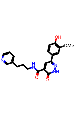 COc1cc(-c2cc(C(=O)NCCCc3cccnc3)c(=O)[nH]n2)ccc1O